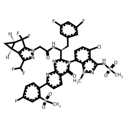 Cn1nc(NS(C)(=O)=O)c2c(Cl)ccc(-n3c([C@H](Cc4cc(F)cc(F)c4)NC(=O)Cn4nc(C(F)F)c5c4C(F)(F)[C@@H]4C[C@H]54)nc4nc(-c5ccc(F)cc5S(C)(=O)=O)ccc4c3=O)c21